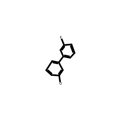 Fc1[c]ccc(-c2cccc(Cl)c2)c1